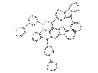 c1ccc(-c2ccc(N(c3ccc4oc5ccccc5c4c3)c3ccccc3-c3ccc(-c4ccc5c6ccccc6n(-c6ccccc6)c5c4)cc3-c3cccc(-c4ccccc4)c3)cc2)cc1